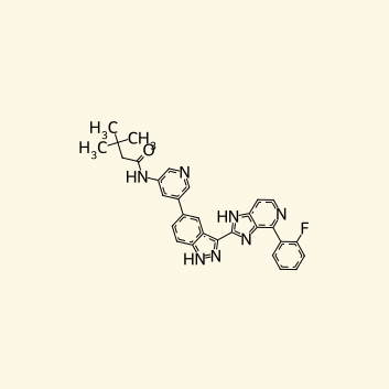 CC(C)(C)CC(=O)Nc1cncc(-c2ccc3[nH]nc(-c4nc5c(-c6ccccc6F)nccc5[nH]4)c3c2)c1